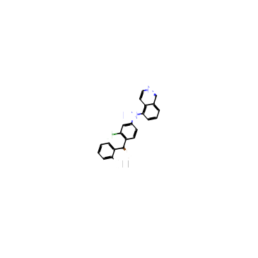 Cc1ccccc1C(=S)c1ccc(Nc2cccc3cnccc23)cc1Cl